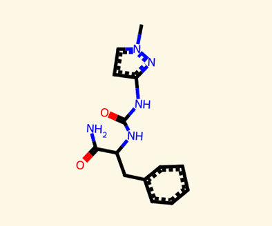 Cn1ccc(NC(=O)NC(Cc2ccccc2)C(N)=O)n1